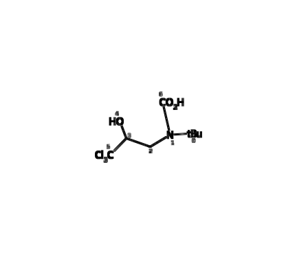 CC(C)(C)N(CC(O)C(Cl)(Cl)Cl)C(=O)O